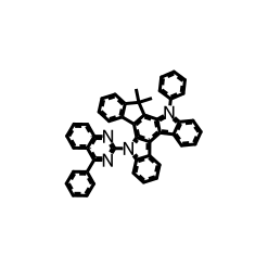 CC1(C)c2ccccc2-c2c1c1c(c3ccccc3n1-c1ccccc1)c1c3ccccc3n(-c3nc(-c4ccccc4)c4ccccc4n3)c21